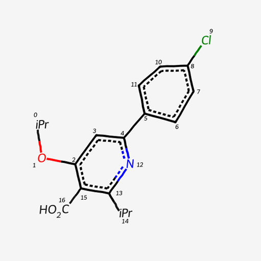 CC(C)Oc1cc(-c2ccc(Cl)cc2)nc(C(C)C)c1C(=O)O